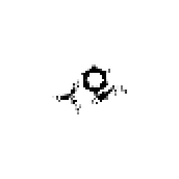 CC#N.O=S(=O)=O.c1ccccc1